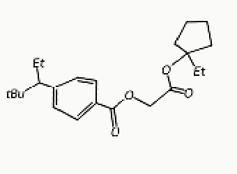 CCC(c1ccc(C(=O)OCC(=O)OC2(CC)CCCC2)cc1)C(C)(C)C